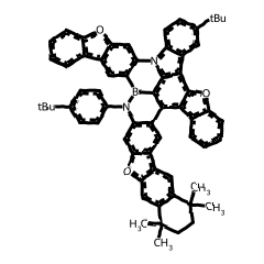 CC(C)(C)c1ccc(N2B3c4cc5c(cc4-n4c6ccc(C(C)(C)C)cc6c6c7oc8ccccc8c7c(c3c64)-c3cc4c(cc32)oc2cc3c(cc24)C(C)(C)CCC3(C)C)oc2ccccc25)cc1